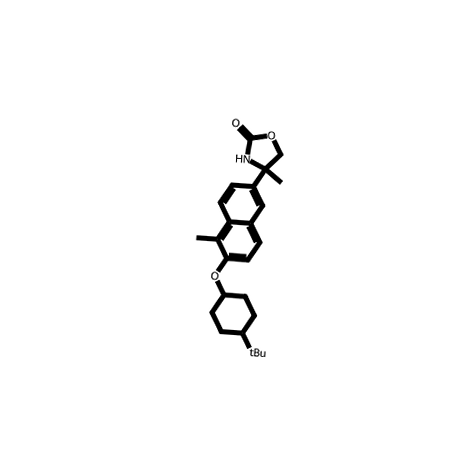 Cc1c(OC2CCC(C(C)(C)C)CC2)ccc2cc(C3(C)COC(=O)N3)ccc12